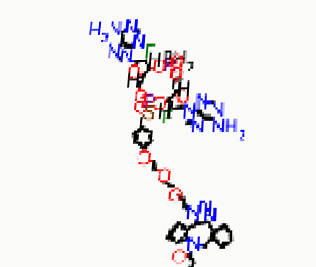 B[P@]1(=O)OC[C@H]2O[C@@H](n3cnc4c(N)ncnc43)[C@H](F)[C@@H]2O[P@@](=O)(SCc2ccc(OCCOCCOCCn3nnc4c3-c3ccccc3N(C(=O)CC)Cc3ccccc3-4)cc2)OC[C@H]2O[C@@H](n3cnc4c(N)ncnc43)[C@H](F)[C@@H]2O1